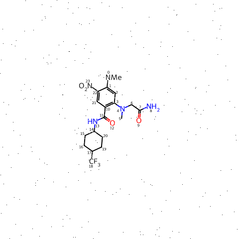 CNc1cc(N(C)CC(N)=O)c(C(=O)NC2CCC(C(F)(F)F)CC2)cc1[N+](=O)[O-]